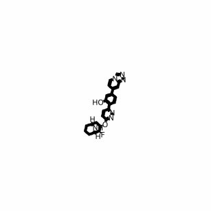 Oc1cc(-c2ccn3cnnc3c2)ccc1-c1ccc(O[C@@H]2C[C@H]3CCC[C@H](N3)[C@@H]2F)nn1